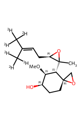 [2H]C([2H])([2H])C(=CC[C@H]1OC1(C)[C@H]1[C@H](OC)[C@H](O)CC[C@]12CO2)C([2H])([2H])[2H]